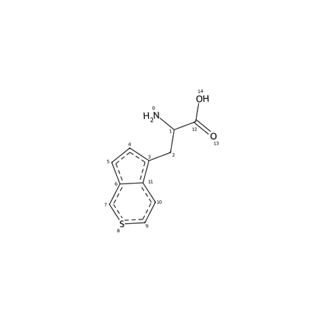 NC(Cc1ccc2csccc1-2)C(=O)O